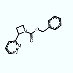 O=C(OCc1ccccc1)N1CCC1c1cccnn1